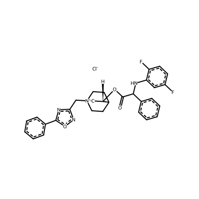 O=C(O[C@H]1C[N+]2(Cc3noc(-c4ccccc4)n3)CCC1CC2)C(Nc1cc(F)ccc1F)c1ccccc1.[Cl-]